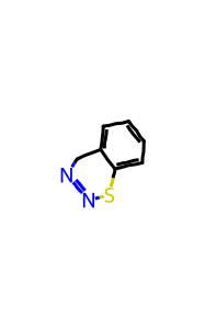 c1ccc2c(c1)CN=NS2